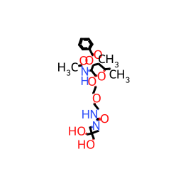 CCC1OC(OCCOCCNC(=O)N2CC(CO)(CO)C2)C(NC(C)=O)C(OC(=O)c2ccccc2)C1C